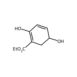 CCOC(=O)C1=C(O)C=CC(O)C1